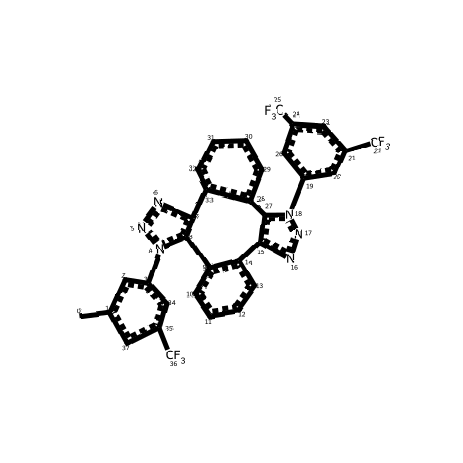 Cc1cc(-n2nnc3c2-c2ccccc2-c2nnn(-c4cc(C(F)(F)F)cc(C(F)(F)F)c4)c2-c2ccccc2-3)cc(C(F)(F)F)c1